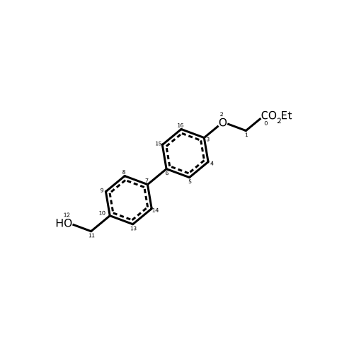 CCOC(=O)COc1ccc(-c2ccc(CO)cc2)cc1